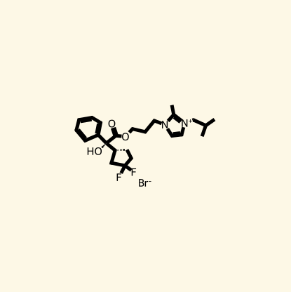 Cc1n(CCCOC(=O)[C@](O)(c2ccccc2)[C@@H]2CCC(F)(F)C2)cc[n+]1CC(C)C.[Br-]